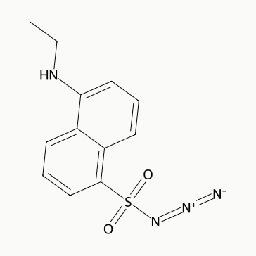 CCNc1cccc2c(S(=O)(=O)N=[N+]=[N-])cccc12